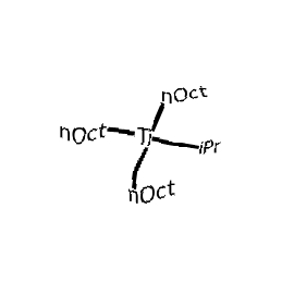 CCCCCCC[CH2][Ti]([CH2]CCCCCCC)([CH2]CCCCCCC)[CH](C)C